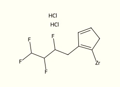 Cl.Cl.FC(F)C(F)C(F)CC1=[C]([Zr])CC=C1